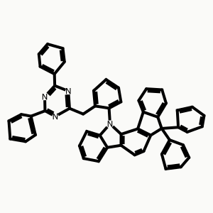 c1ccc(-c2nc(Cc3ccccc3-n3c4ccccc4c4ccc5c(c43)-c3ccccc3C5(c3ccccc3)c3ccccc3)nc(-c3ccccc3)n2)cc1